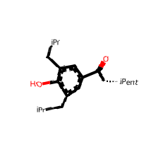 CCC[C@@H](C)CC(=O)c1cc(CC(C)C)c(O)c(CC(C)C)c1